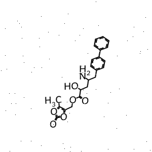 Cc1oc(=O)oc1COC(=O)C(O)CC(N)Cc1ccc(-c2ccccc2)cc1